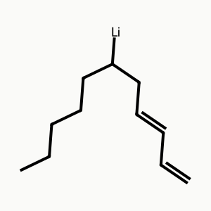 [Li][CH](CC=CC=C)CCCCC